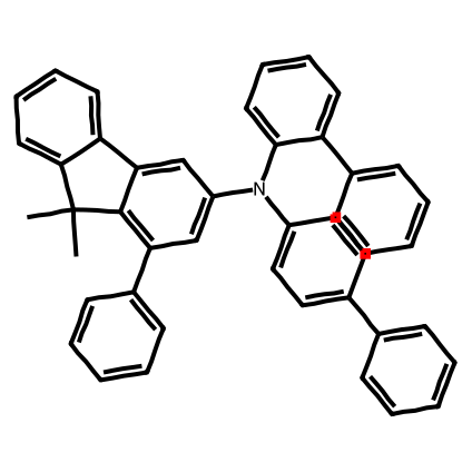 CC1(C)c2ccccc2-c2cc(N(c3ccc(-c4ccccc4)cc3)c3ccccc3-c3ccccc3)cc(-c3ccccc3)c21